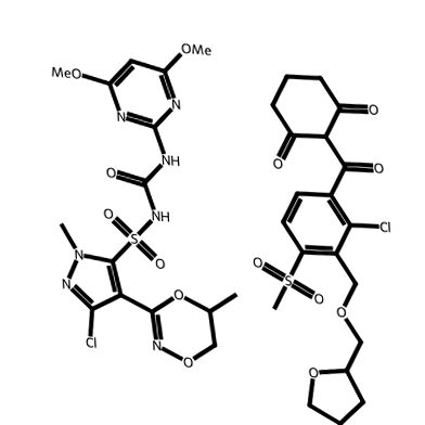 COc1cc(OC)nc(NC(=O)NS(=O)(=O)c2c(C3=NOCC(C)O3)c(Cl)nn2C)n1.CS(=O)(=O)c1ccc(C(=O)C2C(=O)CCCC2=O)c(Cl)c1COCC1CCCO1